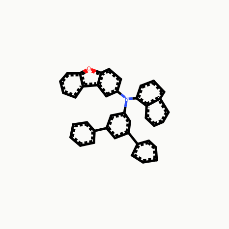 c1ccc(-c2cc(-c3ccccc3)cc(N(c3ccc4oc5ccccc5c4c3)c3cccc4ccccc34)c2)cc1